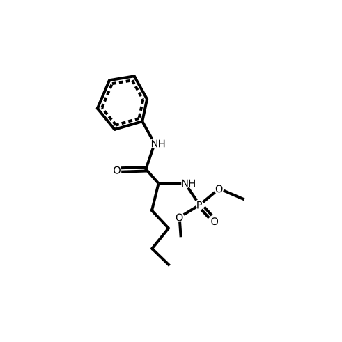 CCCCC(NP(=O)(OC)OC)C(=O)Nc1ccccc1